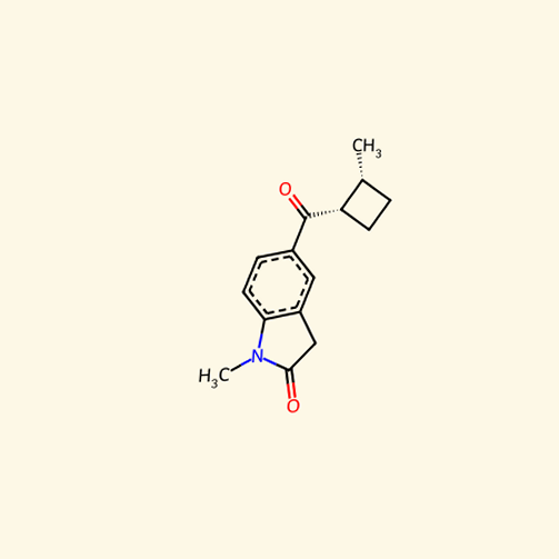 C[C@@H]1CC[C@@H]1C(=O)c1ccc2c(c1)CC(=O)N2C